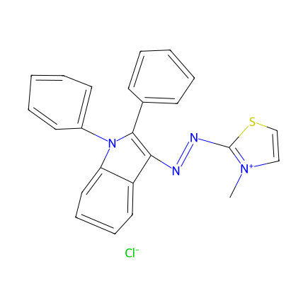 C[n+]1ccsc1/N=N/c1c(-c2ccccc2)n(-c2ccccc2)c2ccccc12.[Cl-]